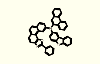 c1ccc(-c2nc3ccc4ccc5ccc(N(c6ccc7oc8ccccc8c7c6)c6cc7ccccc7c7ccccc67)cc5c4c3o2)cc1